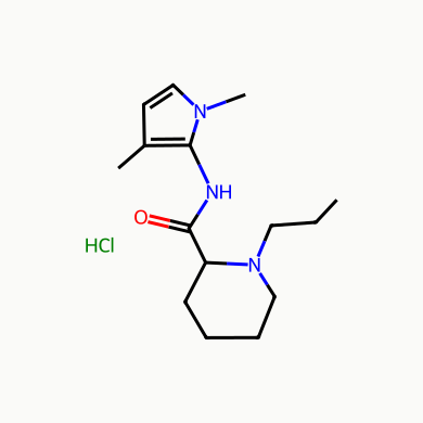 CCCN1CCCCC1C(=O)Nc1c(C)ccn1C.Cl